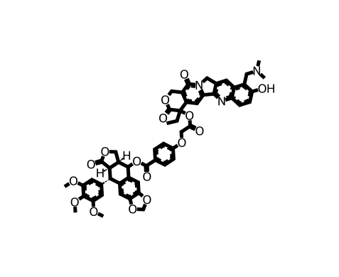 CCC1(OC(=O)COc2ccc(C(=O)OC3c4cc5c(cc4[C@H](c4cc(OC)c(OC)c(OC)c4)[C@H]4C(=O)OC[C@@H]34)OCO5)cc2)C(=O)OCc2c1cc1n(c2=O)Cc2cc3c(CN(C)C)c(O)ccc3nc2-1